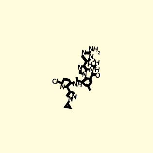 [2H]C([2H])([2H])n1c(=O)c2cc(C)cc(C(C)Nc3ccc(Cl)nc3-c3cnn(C4CC4)c3)c2n2cnc(-c3cnc(N)nc3)c12